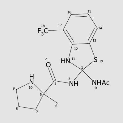 CC(=O)NC1(NC(=O)C2(C)CCCN2)Nc2c(cccc2C(F)(F)F)S1